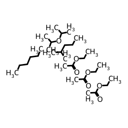 CC(C)OC(C)C.CCCC(C)C.CCCCCC.CCOC(C)=O.CCOC(C)=O.CCOC(C)=O